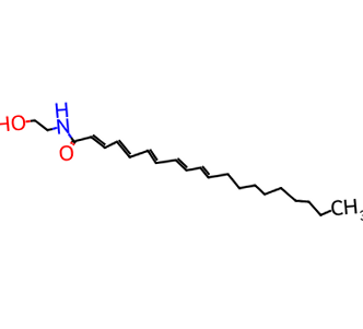 CCCCCCCCCC=CC=CC=CC=CC=CC(=O)NCCO